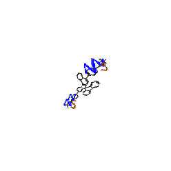 CC1(C)CSC(c2ccc(-c3ccc4c(c3)C3(c5ccccc5-c5ccccc53)c3cc(-c5ccc(C6=NC(C)(C)CS6)nc5)c5ccccc5c3-4)cn2)=N1